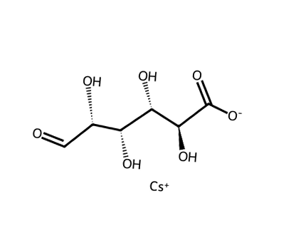 O=C[C@H](O)[C@@H](O)[C@H](O)[C@H](O)C(=O)[O-].[Cs+]